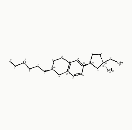 CCOCCC[C@H]1CCc2cc([C@H]3CC[C@@](N)(CO)C3)ccc2C1